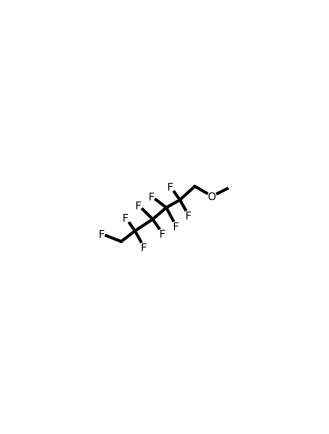 COCC(F)(F)C(F)(F)C(F)(F)C(F)(F)CF